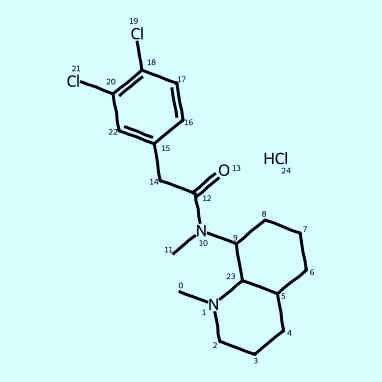 CN1CCCC2CCCC(N(C)C(=O)Cc3ccc(Cl)c(Cl)c3)C21.Cl